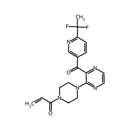 C=CC(=O)N1CCN(c2nccnc2C(=O)c2ccc(C(C)(F)F)nc2)CC1